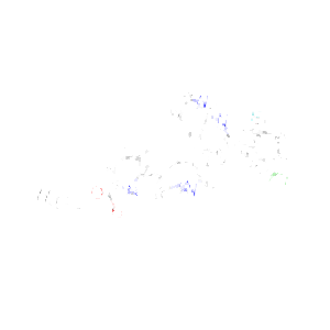 CCOC(=O)c1cccc(-c2cncc(-c3cc(-c4cc(Cl)ccc4F)nc4ncccc34)c2)n1